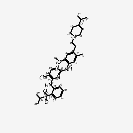 COc1cc(CCN2CCC(C(C)C)CC2)c(C)cc1Nc1ncc(Cl)c(Nc2ccccc2S(=O)(=O)C(C)C)n1